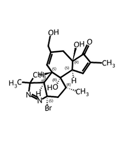 CC1=C[C@H]2[C@@]3(O)[C@H](C)C[C@@]4(Br)N=NC(C)(C)[C@H]4[C@@H]3C=C(CO)C[C@]2(O)C1=O